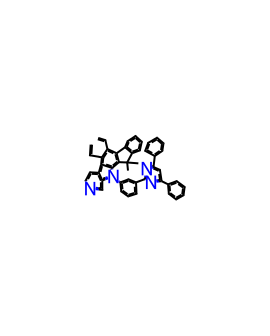 C=Cc1c2c(c3c(c1C=C)c1ccncc1n3-c1cccc(-c3nc(-c4ccccc4)cc(-c4ccccc4)n3)c1)C(C)(C)c1ccccc1-2